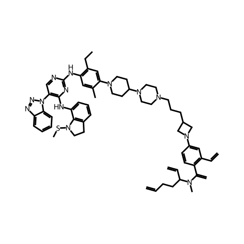 C=CCCC(C=C)N(C)C(=C)c1ccc(N2CC(CCCN3CCN(C4CCN(c5cc(CC)c(Nc6ncc(-n7nnc8ccccc87)c(Nc7cccc8c7N(SC)CC8)n6)cc5C)CC4)CC3)C2)cc1C=C